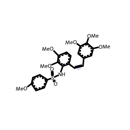 COc1ccc(S(=O)(=O)Nc2c(/C=C\c3cc(OC)c(OC)c(OC)c3)ccc(OC)c2OC)cc1